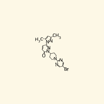 Cc1cc(C)n(-c2ccc(=O)n(C3CCN(c4ncc(Br)cn4)CC3)n2)n1